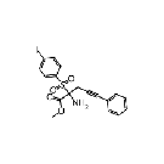 COC(=O)C(N)(CC#Cc1ccccc1)S(=O)(=O)c1ccc(I)cc1